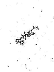 NCCCC[C@H](NC(=O)CNC(=O)OCC1c2ccccc2-c2ccccc21)C(=O)O